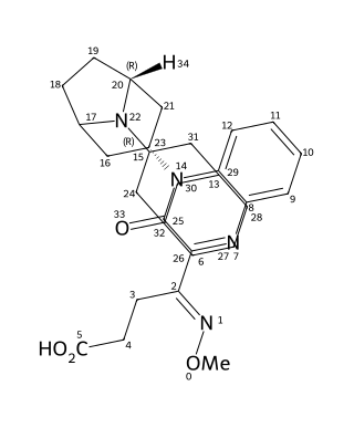 CON=C(CCC(=O)O)c1nc2ccccc2n([C@@H]2CC3CC[C@H](C2)N3C2CC3CCCC(C3)C2)c1=O